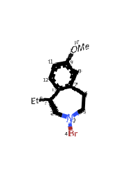 CCC1CN(Br)CCc2cc(OC)ccc21